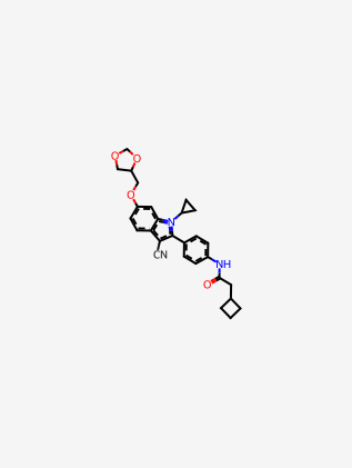 N#Cc1c(-c2ccc(NC(=O)CC3CCC3)cc2)n(C2CC2)c2cc(OCC3COCO3)ccc12